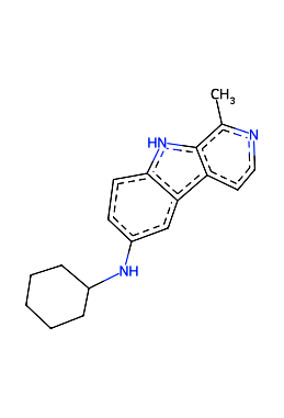 Cc1nccc2c1[nH]c1ccc(NC3CCCCC3)cc12